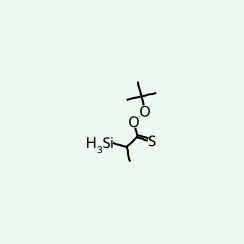 CC([SiH3])C(=S)OOC(C)(C)C